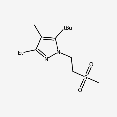 CCc1nn(CCS(C)(=O)=O)c(C(C)(C)C)c1C